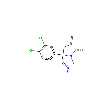 C=CCC(C=NC)(c1ccc(Cl)c(Cl)c1)N(C)C(=O)O